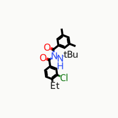 CCc1ccc(C(=O)N(NC(C)(C)C)C(=O)c2cc(C)cc(C)c2)cc1Cl